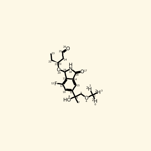 [2H]C([2H])([2H])OCC(C)(O)c1cc(F)c2c(c1)C(=O)NC2O[C@@H](CC)CC=O